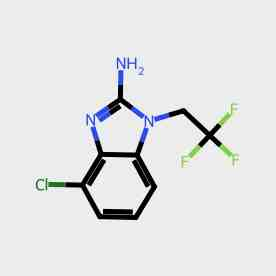 Nc1nc2c(Cl)cccc2n1CC(F)(F)F